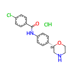 Cl.O=C(Nc1ccc([C@H]2CNCCO2)cc1)c1ccc(Cl)cc1